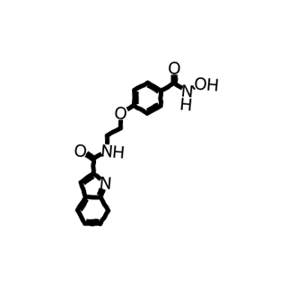 O=C(NCCOc1ccc(C(=O)NO)cc1)C1=CC2=CC=CCC2=N1